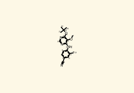 COc1c(Nc2ccc(C#N)cc2F)ncnc1OC(C)(C)C